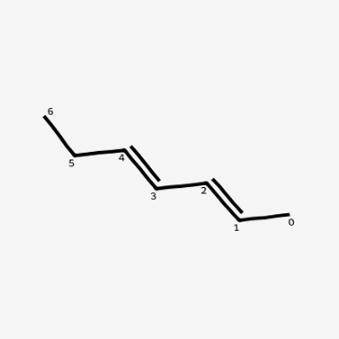 CC=CC=CCC